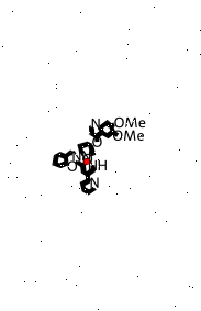 COc1cc2nccc(Oc3ccc(N(Cc4ccccc4)C(=O)c4cc(-c5ccccn5)c[nH]c4=O)nc3)c2cc1OC